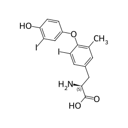 Cc1cc(C[C@H](N)C(=O)O)cc(I)c1Oc1ccc(O)c(I)c1